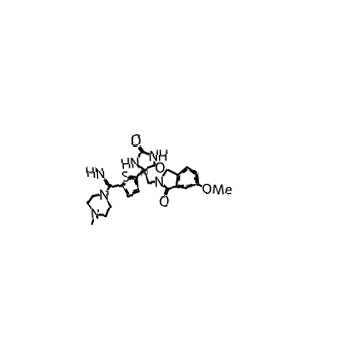 COc1ccc2c(c1)C(=O)N(C[C@@]1(c3ccc(C(=N)N4CCN(C)CC4)s3)NC(=O)NC1=O)C2